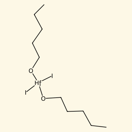 CCCCC[O][Hf]([I])([I])[O]CCCCC